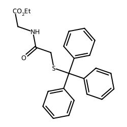 CCOC(=O)CNC(=O)CSC(c1ccccc1)(c1ccccc1)c1ccccc1